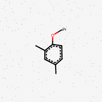 [CH2]C(C)Oc1ccc(C)cc1C